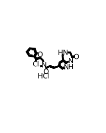 CN(Cc1oc2ccccc2c1Cl)C(=O)C=Cc1cnc2c(c1)CNCC(=O)N2.Cl